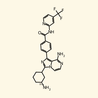 Nc1nccn2c(C3CCC[C@H](N)C3)nc(-c3ccc(C(=O)Nc4cc(C(F)(F)F)ccn4)cc3)c12